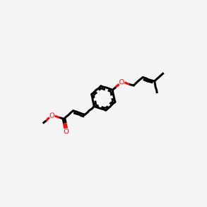 COC(=O)C=Cc1ccc(OCC=C(C)C)cc1